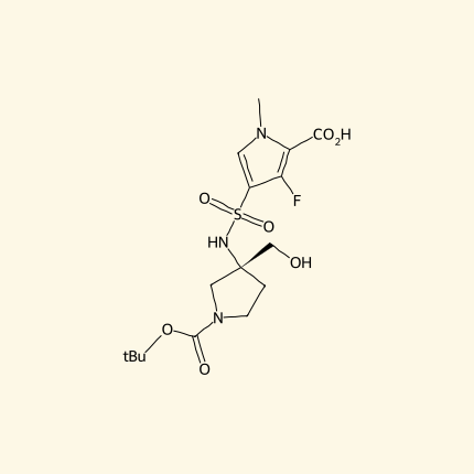 Cn1cc(S(=O)(=O)N[C@]2(CO)CCN(C(=O)OC(C)(C)C)C2)c(F)c1C(=O)O